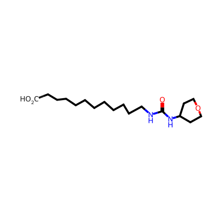 O=C(O)CCCCCCCCCCCNC(=O)NC1CCOCC1